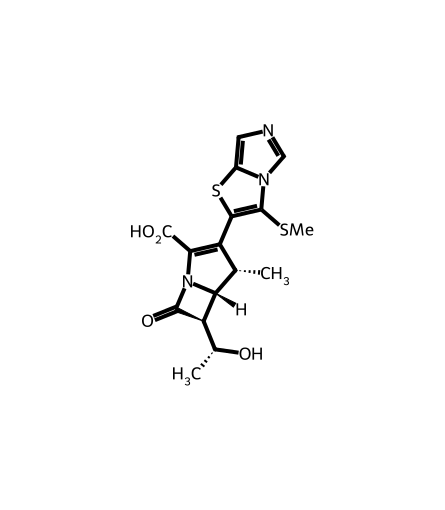 CSc1c(C2=C(C(=O)O)N3C(=O)[C@H]([C@@H](C)O)[C@H]3[C@H]2C)sc2cncn12